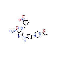 CCC(=O)N1CCN(c2ccc(Nc3cc(NCc4cccc([N+](=O)[O-])c4)c(C(N)=O)cn3)cc2)CC1